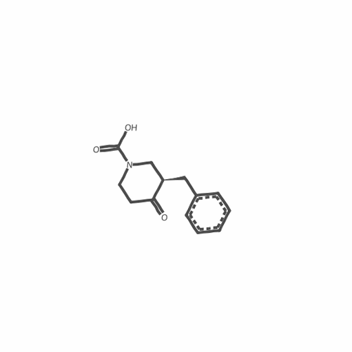 O=C1CCN(C(=O)O)C[C@H]1Cc1ccccc1